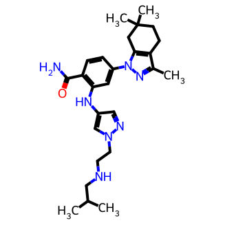 Cc1nn(-c2ccc(C(N)=O)c(Nc3cnn(CCNCC(C)C)c3)c2)c2c1CCC(C)(C)C2